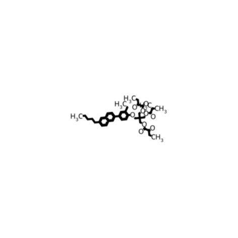 C=C(C)C(=O)OCC(COC(=O)C(=O)CC)(COC(=O)C(=O)CC)COc1ccc(-c2ccc3cc(CCCCC)ccc3c2)cc1CC